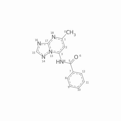 Cc1cc(NC(=O)c2ccccc2)n2ncnc2n1